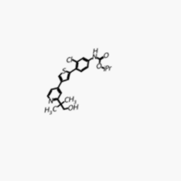 CC(C)OC(=O)Nc1ccc(-c2cc(-c3ccnc(C(C)(C)CO)c3)cs2)c(Cl)c1